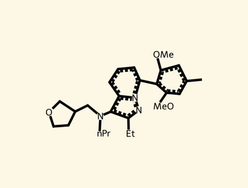 CCCN(CC1CCOC1)c1c(CC)nn2c(-c3c(OC)cc(C)cc3OC)cccc12